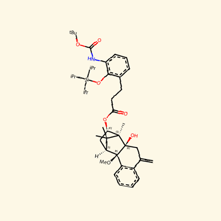 C=C1C[C@]2(O)[C@](OC)(c3ccccc31)[C@H]1C[C@@H](OC(=O)CCc3cccc(NC(=O)OC(C)(C)C)c3O[Si](C(C)C)(C(C)C)C(C)C)[C@]2(C)C1(C)C